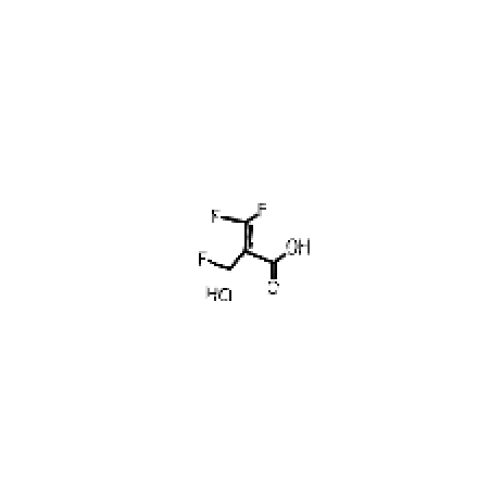 Cl.O=C(O)C(CF)=C(F)F